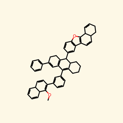 COC1=C(c2cccc(C3=C4CCCCC4C(c4ccc5oc6c(c5c4)C=CC4CCC=CC64)C4=C3C=C(c3ccccc3)CC4)c2)C=CC2C=CC=CC12